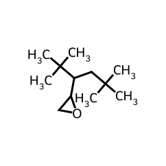 CC(C)(C)CC(C1CO1)C(C)(C)C